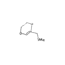 CSCC1=COCCO1